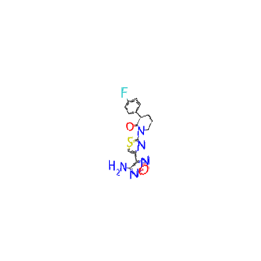 Nc1nonc1-c1csc(N2CCCC(c3ccc(F)cc3)C2=O)n1